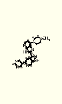 CN1CCN(c2ccnc3[nH]c(-c4n[nH]c5cnc(-c6cncnc6)cc45)nc23)CC1